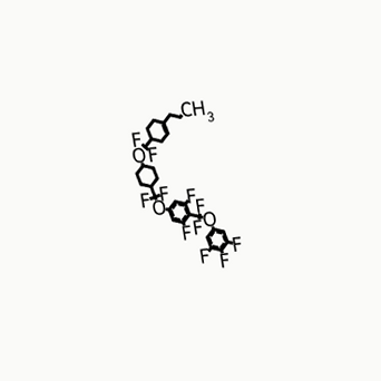 CCCC1=CCC(C(F)(F)OC2CCC(C(F)(F)Oc3cc(F)c(C(F)(F)Oc4cc(F)c(F)c(F)c4)c(F)c3)CC2)CC1